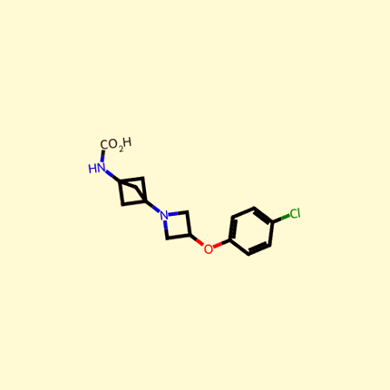 O=C(O)NC12CC(N3CC(Oc4ccc(Cl)cc4)C3)(C1)C2